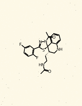 CC(=O)NCC[C@H]1CNc2ccccc2[C@]12SC(c1cc(F)ccc1F)=NN2C(C)=O